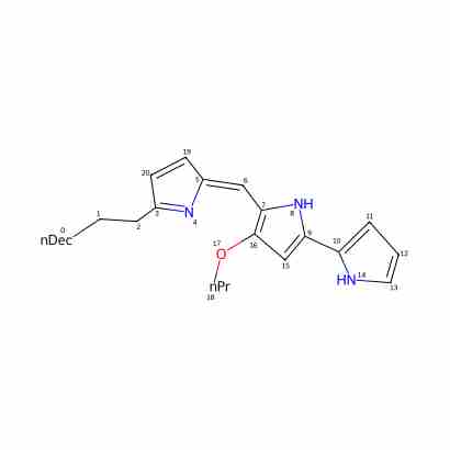 CCCCCCCCCCCCC1=NC(=Cc2[nH]c(-c3ccc[nH]3)cc2OCCC)C=C1